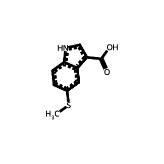 CSc1ccc2[nH]cc(C(=O)O)c2c1